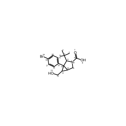 CC(C)(C)C1N(C(=O)O)CC2C(CO)C21c1ccc(Br)cc1